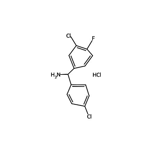 Cl.NC(c1ccc(Cl)cc1)c1ccc(F)c(Cl)c1